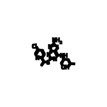 CC(C)CC(CO)Nc1nc(SC(C)c2ccc(Cl)cn2)nc2nc(N)sc12